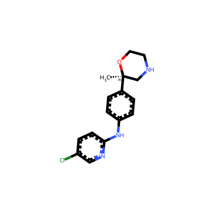 C[C@@]1(c2ccc(Nc3ccc(Cl)cn3)cc2)CNCCO1